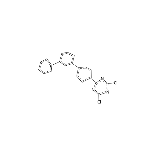 Clc1nc(Cl)nc(-c2ccc(-c3cccc(-c4ccccc4)c3)cc2)n1